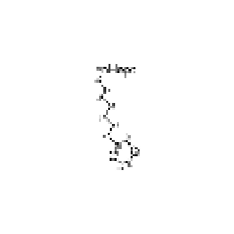 CCCCCCCCCCCCCCC1COCCO1